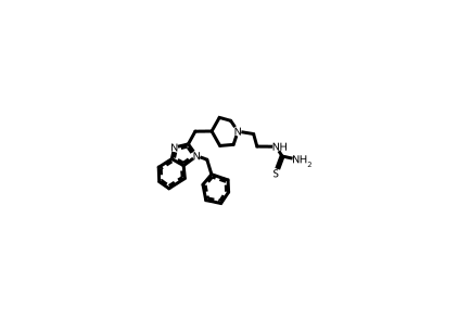 NC(=S)NCCN1CCC(Cc2nc3ccccc3n2Cc2ccccc2)CC1